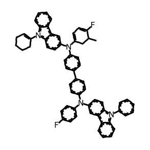 CC1CC(N(c2ccc(-c3ccc(N(c4ccc(F)cc4)c4ccc5c(c4)c4ccccc4n5-c4ccccc4)cc3)cc2)c2ccc3c(c2)c2ccccc2n3C2=CCCCC2)=CC=C1F